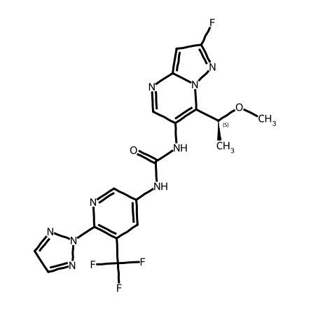 CO[C@@H](C)c1c(NC(=O)Nc2cnc(-n3nccn3)c(C(F)(F)F)c2)cnc2cc(F)nn12